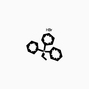 Br.CC=P(c1ccccc1)(c1ccccc1)c1ccccc1